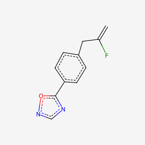 C=C(F)Cc1ccc(-c2ncno2)cc1